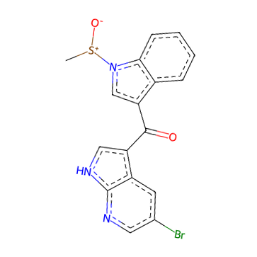 C[S+]([O-])n1cc(C(=O)c2c[nH]c3ncc(Br)cc23)c2ccccc21